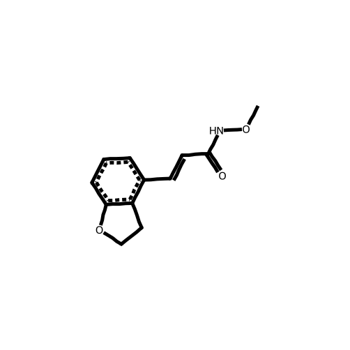 CONC(=O)C=Cc1cccc2c1CCO2